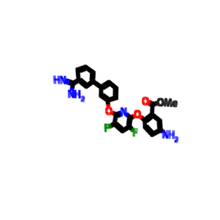 COC(=O)c1cc(N)ccc1Oc1nc(Oc2cccc(-c3cccc(C(=N)N)c3)c2)c(F)cc1F